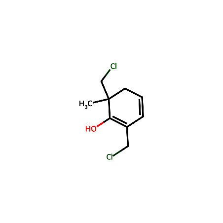 CC1(CCl)CC=CC(CCl)=C1O